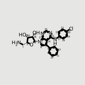 NC[C@H]1O[C@@H](n2cc(-c3ccccc3)c3c(Nc4ccc(Cl)cc4)ncnc32)[C@@H](O)[C@H]1O